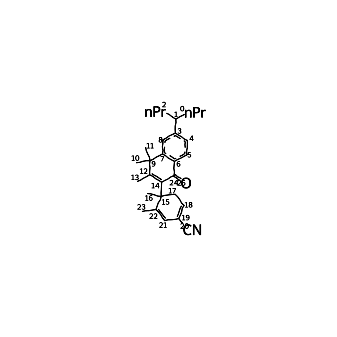 CCCC(CCC)c1ccc2c(c1)C(C)(C)C(C)=C(C1(C)CC=C(C#N)C=C1C)C2=O